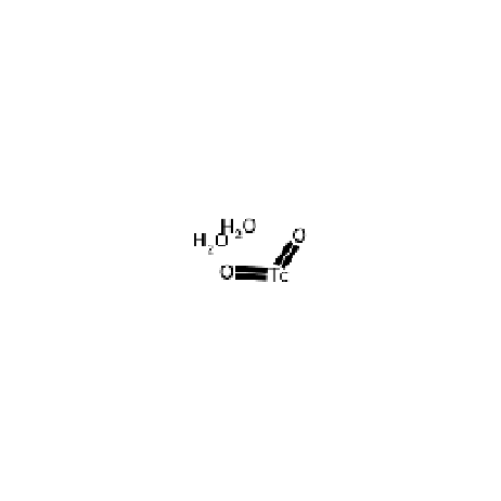 O.O.[O]=[Tc]=[O]